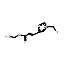 CCOC(=O)/C=C/c1cn(CC)cn1